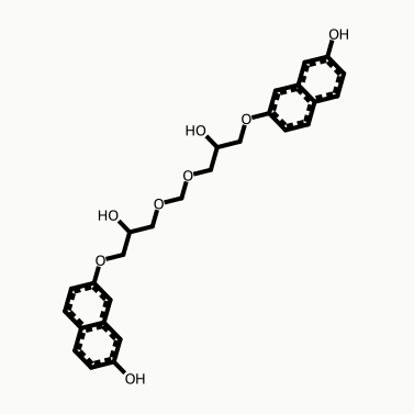 Oc1ccc2ccc(OCC(O)COCOCC(O)COc3ccc4ccc(O)cc4c3)cc2c1